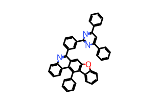 c1ccc(-c2cc(-c3ccccc3)nc(-c3cccc(-c4nc5ccccc5c5c(-c6ccccc6)c6c(cc45)oc4ccccc46)c3)n2)cc1